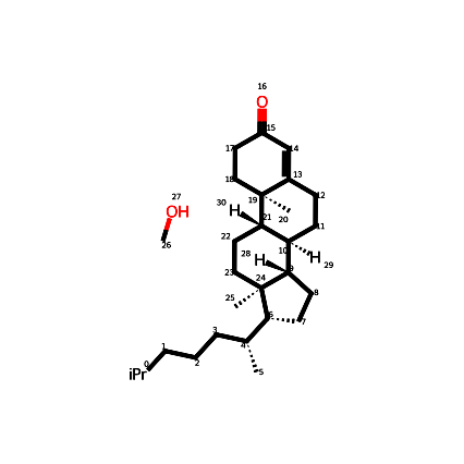 CC(C)CCC[C@@H](C)[C@H]1CC[C@H]2[C@@H]3CCC4=CC(=O)CC[C@]4(C)[C@H]3CC[C@]12C.CO